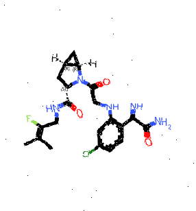 CC(C)=C(F)CNC(=O)[C@@H]1C[C@H]2C[C@H]2N1C(=O)CNc1cc(Cl)ccc1C(=N)C(N)=O